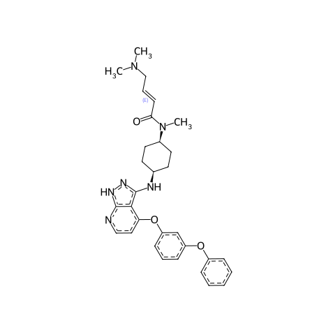 CN(C)C/C=C/C(=O)N(C)[C@H]1CC[C@@H](Nc2n[nH]c3nccc(Oc4cccc(Oc5ccccc5)c4)c23)CC1